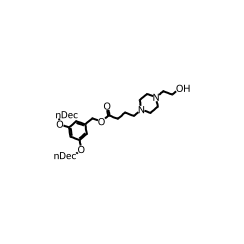 CCCCCCCCCCOc1cc(COC(=O)CCCN2CCN(CCO)CC2)cc(OCCCCCCCCCC)c1